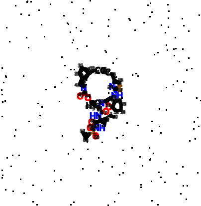 CC[C@@H]1C[C@]1(NC(=O)[C@@H]1C[C@@H]2CN1C(=O)[C@H](C1CCCCC1)Nc1nc(cs1)CCCCCc1cccc3c1CN(C3)C(=O)O2)C(=O)NS(=O)(=O)C1CC1